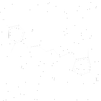 Cc1cc(F)ccc1OCCCCOc1ccc(F)cc1C